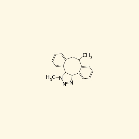 CC1Cc2ccccc2C2C(N=NN2C)c2ccccc21